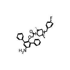 C[C@@H]1CN(Cc2ccc(F)cc2)[C@@H](C)CN1C(=O)COc1c(-c2ccccc2)cc(N)cc1-c1ccccc1